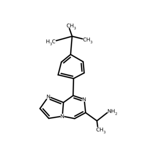 CC(N)c1cn2ccnc2c(-c2ccc(C(C)(C)C)cc2)n1